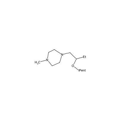 CCCC(C)OC(CC)CN1CCN(C)CC1